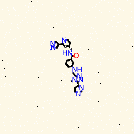 Cn1cc(-c2cc(CNC(=O)c3cccc(NCc4nnc(-c5ccncn5)n4C)c3)ccn2)cn1